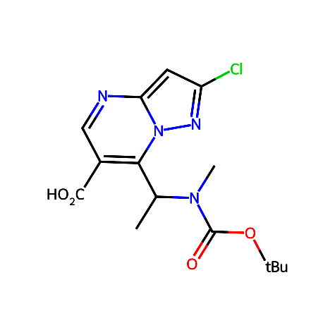 CC(c1c(C(=O)O)cnc2cc(Cl)nn12)N(C)C(=O)OC(C)(C)C